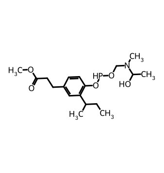 CCC(C)c1cc(CCC(=O)OC)ccc1OPOCN(C)C(C)O